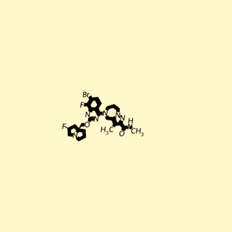 CNC(=O)c1nn2c(c1C)CN(c1nc(OC[C@@]34CCCN3C[C@H](F)C4)nc3c(F)c(Br)ccc13)CCC2